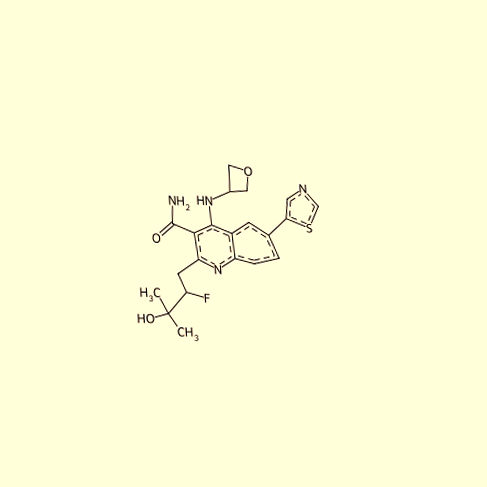 CC(C)(O)C(F)Cc1nc2ccc(-c3cncs3)cc2c(NC2COC2)c1C(N)=O